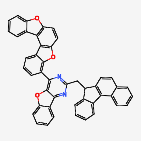 c1ccc2c(c1)-c1c(ccc3ccccc13)C2Cc1nc(-c2cccc3c2oc2ccc4oc5ccccc5c4c23)c2oc3ccccc3c2n1